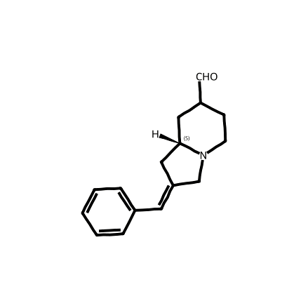 O=CC1CCN2CC(=Cc3ccccc3)C[C@@H]2C1